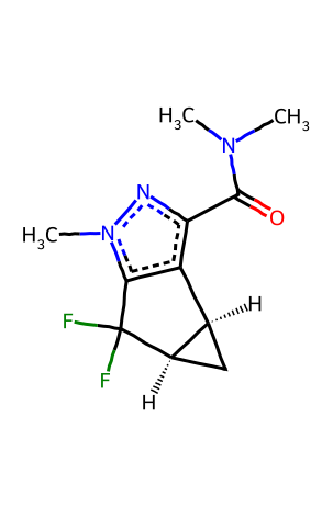 CN(C)C(=O)c1nn(C)c2c1[C@H]1C[C@H]1C2(F)F